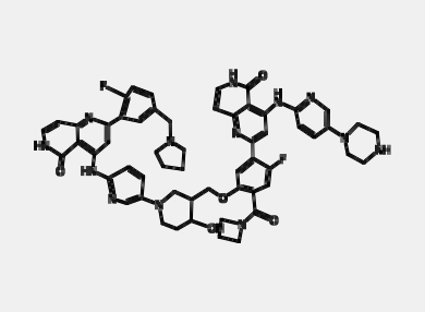 O=C(c1cc(F)c(-c2cc(Nc3ccc(N4CCNCC4)cn3)c3c(=O)[nH]ccc3n2)cc1OCC1CN(c2ccc(Nc3cc(-c4cc(CN5CCCC5)ccc4F)nc4cc[nH]c(=O)c34)nc2)CCC1O)N1CCC1